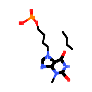 CCCC.Cn1c(=O)[nH]c(=O)c2c1ncn2CCCCO[PH](=O)O